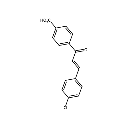 O=C(O)c1ccc(C(=O)C=Cc2ccc(Cl)cc2)cc1